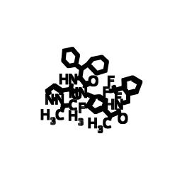 CC(C(=O)NCc1ccccc1C(F)(F)F)c1ccc(NC(=O)C(NC(=O)c2ccnn2C(C)C)C(C2CCCCC2)C2CCCCC2)c(F)c1